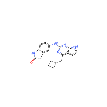 O=C1Cc2cc(Nc3nc(CC4CCC4)c4cc[nH]c4n3)ccc2N1